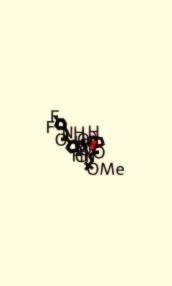 COC(C)(C)CNC(=O)C[C@@]1(O)C2CC[C@H]1CC(S(=O)(=O)c1cc(C(=O)Nc3ccc(F)c(F)c3)ccc1Cl)C2